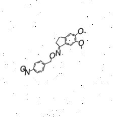 COc1cc2c(cc1OC)/C(=N/OCc1ccc(N=O)cc1)CC2